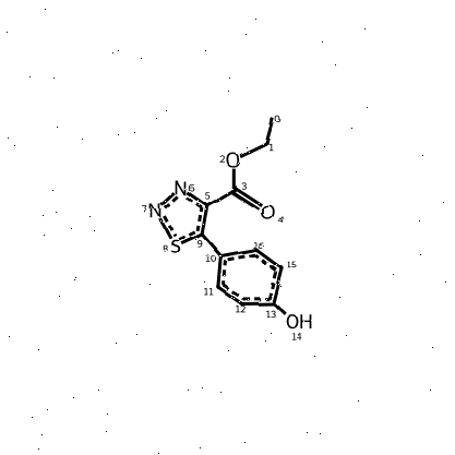 CCOC(=O)c1nnsc1-c1ccc(O)cc1